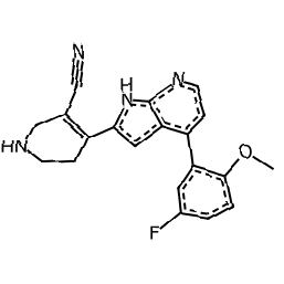 COc1ccc(F)cc1-c1ccnc2[nH]c(C3=C(C#N)CNCC3)cc12